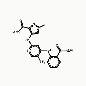 CNC(=O)c1ccccc1Nc1cc(Nc2cn(C)nc2C(=O)NC)ncc1C(F)(F)F